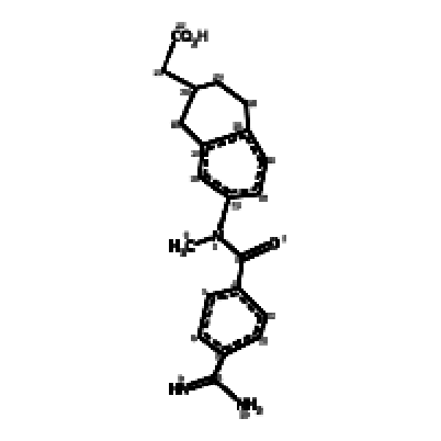 CN(C(=O)c1ccc(C(=N)N)cc1)c1ccc2c(c1)CC(CC(=O)O)CC2